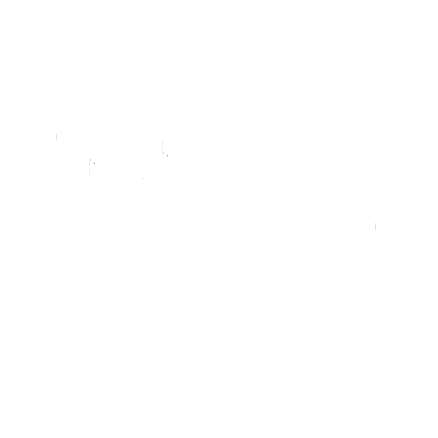 CC(Oc1ccc(S(=O)(=O)NC2(C(=O)NO)CCOC2)cc1)c1ccc(F)cc1